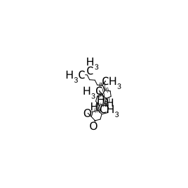 CC(C)CCC[C@@H](C)[C@H]1CC[C@H]2[C@@H]3CCC4CC(=O)C5OC5[C@]4(C)[C@H]3CC[C@]12C